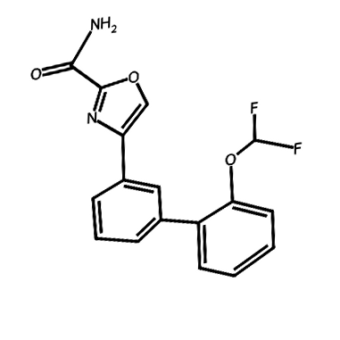 NC(=O)c1nc(-c2cccc(-c3ccccc3OC(F)F)c2)co1